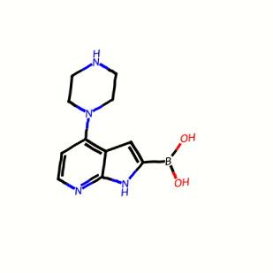 OB(O)c1cc2c(N3CCNCC3)ccnc2[nH]1